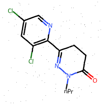 CCCN1N=C(c2ncc(Cl)cc2Cl)CCC1=O